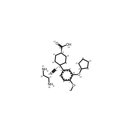 COc1ccc([C@]2(C#N)CC[C@H](C(=O)O)CC2)cc1OC1CCCC1.NCCN